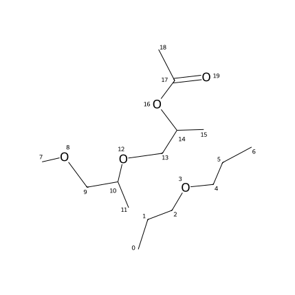 CCCOCCC.COCC(C)OCC(C)OC(C)=O